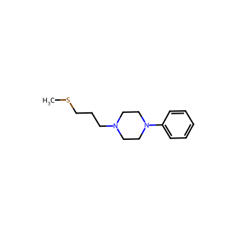 CSCCCN1CCN(c2ccccc2)CC1